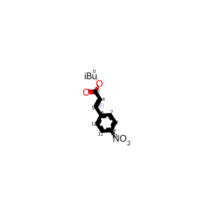 CCC(C)OC(=O)/C=C/c1ccc([N+](=O)[O-])cc1